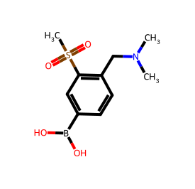 CN(C)Cc1ccc(B(O)O)cc1S(C)(=O)=O